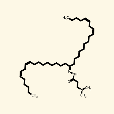 CCCC/C=C\C/C=C\CCCCCCCC/C(CCCCCCCC/C=C\C/C=C\CCCCC)=N\NC(=O)CCN(C)C